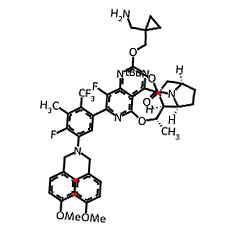 COc1ccc(CN(Cc2ccc(OC)cc2)c2cc(-c3nc4c5c(nc(OCC6(CN)CC6)nc5c3F)N3C[C@H]5CC[C@@H]([C@H]3[C@H](C)O4)N5C(=O)OC(C)(C)C)c(C(F)(F)F)c(C)c2F)cc1